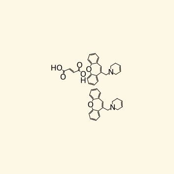 C1=CCN(CC2=Cc3ccccc3Oc3ccccc32)CC1.C1=CCN(CC2=Cc3ccccc3Oc3ccccc32)CC1.O=C(O)/C=C/C(=O)O